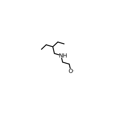 CCC(CC)CNCC[O]